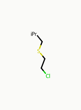 CC(C)CSCCCl